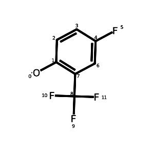 [O]c1ccc(F)cc1C(F)(F)F